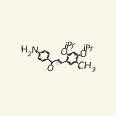 Cc1cc(/C=C/C(=O)c2ccc(N)cc2)c(OC(C)C)cc1OC(C)C